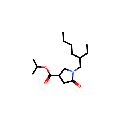 CCCCC(CC)CN1CC(C(=O)OC(C)C)CC1=O